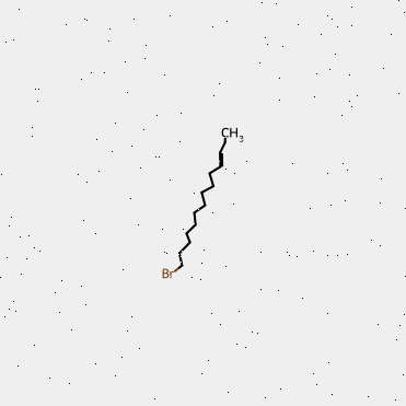 CCC=CCCCCCCCCCCBr